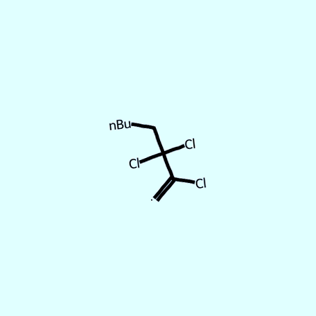 [CH]=C(Cl)C(Cl)(Cl)CCCCC